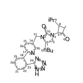 CCCCc1cn(C2C(=O)CC2C(C)C)c(=O)n1Cc1ccc(-c2ccccc2-c2nnn[nH]2)nc1